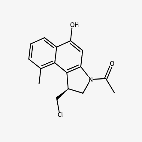 CC(=O)N1C[C@@H](CCl)c2c1cc(O)c1cccc(C)c21